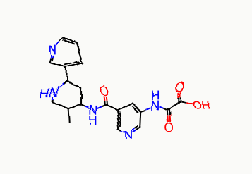 CC1CNC(c2cccnc2)CC1NC(=O)c1cncc(NC(=O)C(=O)O)c1